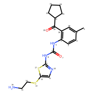 Cc1ccc(NC(=O)Nc2ncc(SCCN)s2)c(C(=O)C2CCCC2)c1